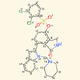 O=C1NCc2c(OS(=O)(=O)c3cccc(Cl)c3Cl)ccc(-c3cc4ccccc4n3CN3CCCCC3)c21